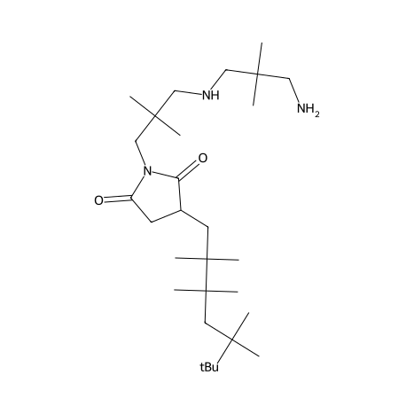 CC(C)(CN)CNCC(C)(C)CN1C(=O)CC(CC(C)(C)C(C)(C)CC(C)(C)C(C)(C)C)C1=O